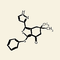 CC1(C)CC(=O)c2c(Sc3ccccc3)sc(-c3cc[nH]n3)c2C1